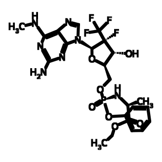 CCOC(=O)[C@H](C)N[P@@](=O)(OC[C@H]1O[C@@H](n2cnc3c(NC)nc(N)nc32)[C@@](F)(C(F)(F)F)[C@@H]1O)Oc1ccccc1